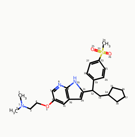 CN(C)CCOc1cnc2[nH]c(C(CC3CCCC3)c3ccc(S(C)(=O)=O)cc3)cc2c1